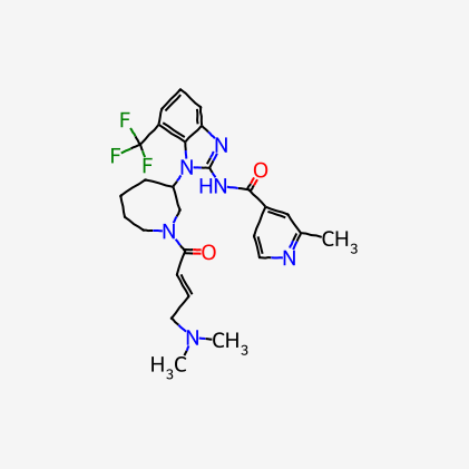 Cc1cc(C(=O)Nc2nc3cccc(C(F)(F)F)c3n2C2CCCCN(C(=O)/C=C/CN(C)C)C2)ccn1